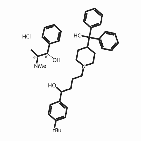 CC(C)(C)c1ccc(C(O)CCCN2CCC(C(O)(c3ccccc3)c3ccccc3)CC2)cc1.CN[C@@H](C)[C@@H](O)c1ccccc1.Cl